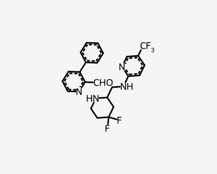 FC1(F)CCNC(CNc2ccc(C(F)(F)F)cn2)C1.O=Cc1ncccc1-c1ccccc1